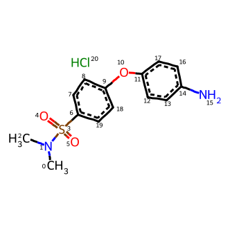 CN(C)S(=O)(=O)c1ccc(Oc2ccc(N)cc2)cc1.Cl